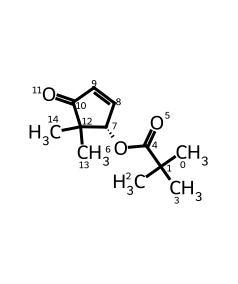 CC(C)(C)C(=O)O[C@H]1C=CC(=O)C1(C)C